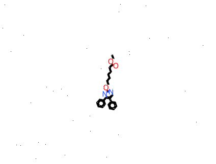 CCOC(=O)CCCCCCOc1ncc(-c2ccccc2)c(-c2ccccc2)n1